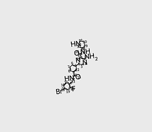 Nc1ncc(-c2cccc(C(=O)NCc3ccc(Br)cc3F)c2)nc1C(=O)N[C@H]1CCCNC1